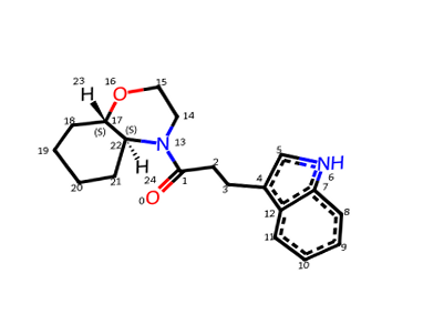 O=C(CCc1c[nH]c2ccccc12)N1CCO[C@H]2CCCC[C@@H]21